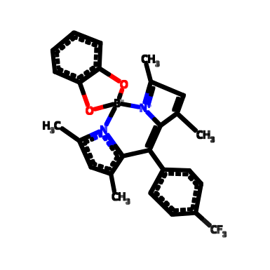 CC1=CC(C)=[N+]2C1=C(c1ccc(C(F)(F)F)cc1)c1c(C)cc(C)n1[B-]21Oc2ccccc2O1